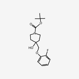 CC(C)(C)OC(=O)N1CCC(O)(COc2ccccc2F)CC1